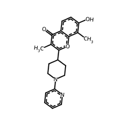 Cc1c(C2CCN(c3ccccn3)CC2)oc2c(C)c(O)ccc2c1=O